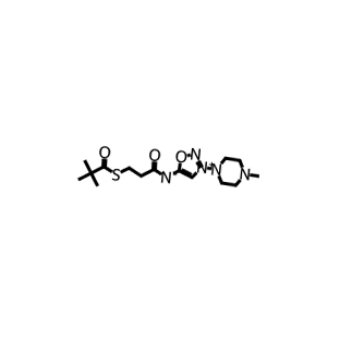 CN1CCN([n+]2cc([N-]C(=O)CCSC(=O)C(C)(C)C)on2)CC1